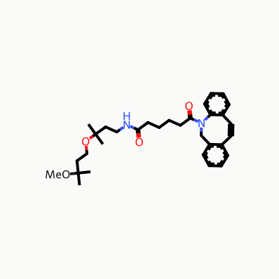 COC(C)(C)CCOC(C)(C)CCNC(=O)CCCCC(=O)N1Cc2ccccc2C#Cc2ccccc21